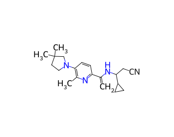 C=C(NC(CC#N)C1CC1)c1ccc(N2CCC(C)(C)C2)c(C)n1